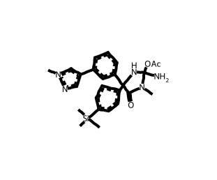 CC(=O)OC1(N)NC(c2ccc([Si](C)(C)C)cc2)(c2cccc(-c3cnn(C)c3)c2)C(=O)N1C